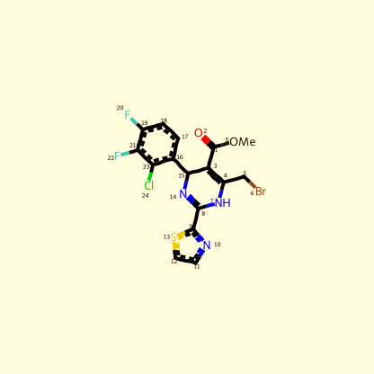 COC(=O)C1=C(CBr)NC(c2nccs2)=NC1c1ccc(F)c(F)c1Cl